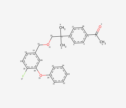 CC(=O)c1ccc(C(C)(C)COCc2ccc(F)c(Oc3ccccc3)c2)cc1